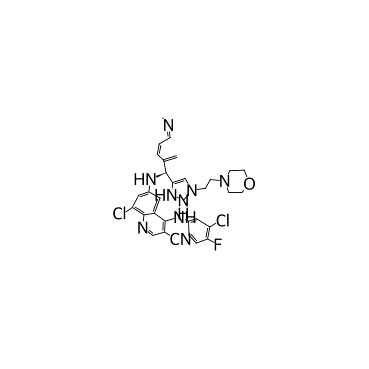 C=C(/C=C\C=N/C)[C@H](Nc1cc(Cl)c2ncc(C#N)c(Nc3ccc(F)c(Cl)c3)c2c1)C1=CN(CCN2CCOCC2)NN1